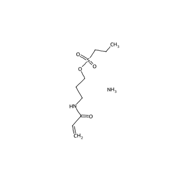 C=CC(=O)NCCCOS(=O)(=O)CCC.N